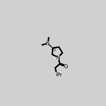 CC(C)CC(=O)N1CC[C@H](N(C)C)C1